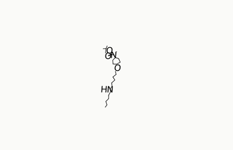 CCCCCCNCCCCCCO[C@H]1CC[C@H](N(C)C(=O)OC(C)(C)C)CC1